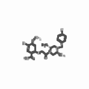 COc1cc(OCC(=O)N2C[C@H](C)N(Cc3ccc(F)cc3)C[C@H]2C)c(C(=O)O)cc1Br